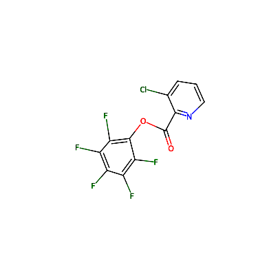 O=C(Oc1c(F)c(F)c(F)c(F)c1F)c1ncccc1Cl